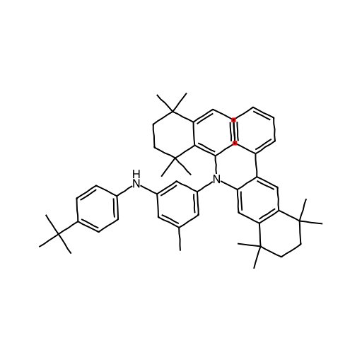 Cc1cc(Nc2ccc(C(C)(C)C)cc2)cc(N(c2cc3c(cc2-c2ccccc2)C(C)(C)CCC3(C)C)c2cccc3c2C(C)(C)CCC3(C)C)c1